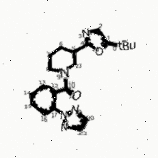 CC(C)(C)c1cnc(C2CCCN(C(=O)c3ccccc3-n3nccn3)C2)o1